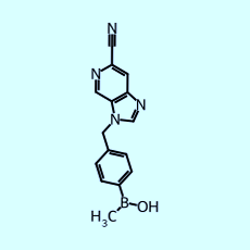 CB(O)c1ccc(Cn2cnc3cc(C#N)ncc32)cc1